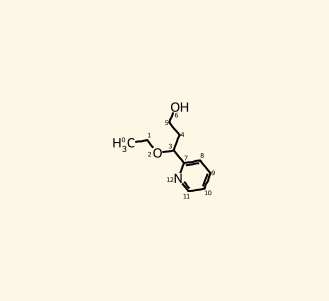 CCOC(CCO)c1ccccn1